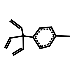 C=CC(C=C)(C=C)c1ccc(C)cc1